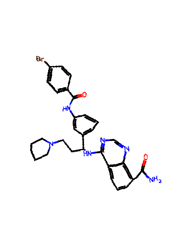 NC(=O)c1cccc2c(NC(CCN3CCCCC3)c3cccc(NC(=O)c4ccc(Br)cc4)c3)ncnc12